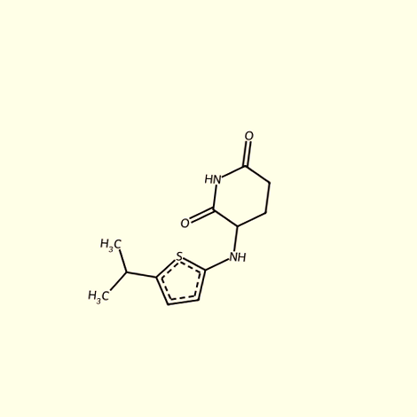 CC(C)c1ccc(NC2CCC(=O)NC2=O)s1